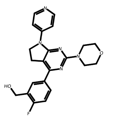 OCc1cc(-c2nc(N3CCOCC3)nc3c2CCN3c2ccncc2)ccc1F